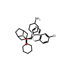 NC1CCN([C@H](Cc2ccc(Cl)cc2)C(=O)N2C3CCC2CC(Cn2cncn2)(C2CCCCC2)C3)CC1